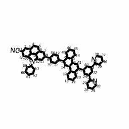 N#Cc1cc2ccc3cc(-c4ccc(-c5cc6c7ccccc7c(-c7cc(-c8ccccn8)cc(-c8ccccn8)c7)cc6c6ccccc56)cc4)cc4c3c2c(c1)n4-c1ccccc1